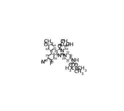 COc1ccc(-c2c(-c3ccc(C#N)c(F)c3)nc(N3CCC(NC(=O)OC(C)(C)C)CC3)n(CC(O)OC)c2=O)cc1